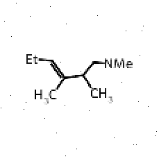 CC/C=C(\C)C(C)CNC